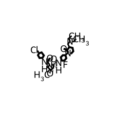 CCN(CC)Cc1cccn(-c2ccc(NC(=O)[C@H]3C[C@@H](OC)CN3C(=O)Nc3ccc(Cl)cc3)c(F)c2)c1=O